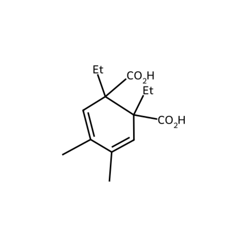 CCC1(C(=O)O)C=C(C)C(C)=CC1(CC)C(=O)O